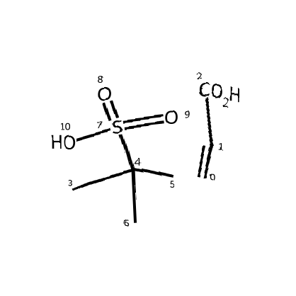 C=CC(=O)O.CC(C)(C)S(=O)(=O)O